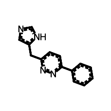 c1ccc(-c2ccc(Cc3cnc[nH]3)nn2)cc1